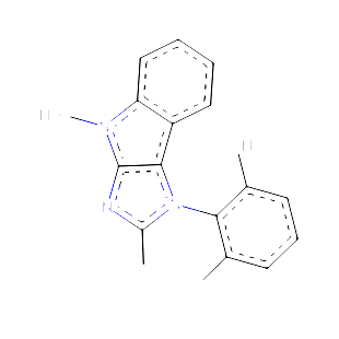 Cc1cccc(C)c1-n1c(C)nc2c1c1ccccc1n2C